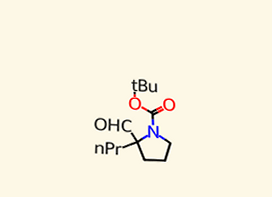 CCCC1(C=O)CCCN1C(=O)OC(C)(C)C